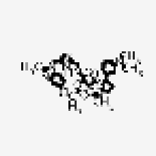 CC(=O)O[C@@H](C(=O)NCc1nc(Cn2c(C)nc3cc(Cl)ccc32)cs1)[C@@H](OC(C)=O)C(=O)N1CCCC1c1cccc(N(C)C)c1